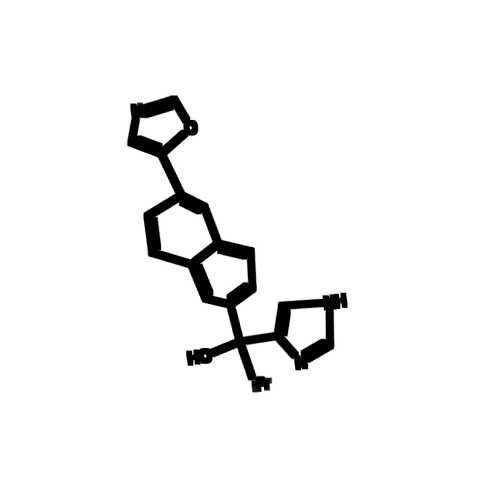 CC(C)C(O)(c1ccc2cc(-c3cnco3)ccc2c1)c1c[nH]cn1